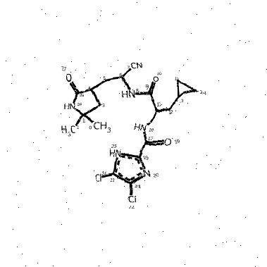 CC1(C)CC(CC(C#N)NC(=O)C(CC2CC2)NC(=O)c2nc(Cl)c(Cl)[nH]2)C(=O)N1